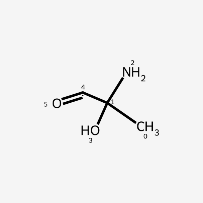 CC(N)(O)[C]=O